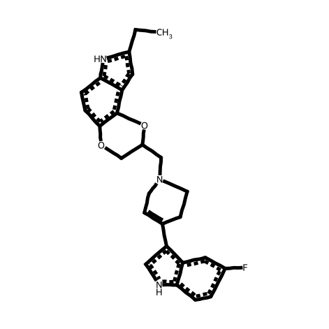 CCc1cc2c3c(ccc2[nH]1)OCC(CN1CC=C(c2c[nH]c4ccc(F)cc24)CC1)O3